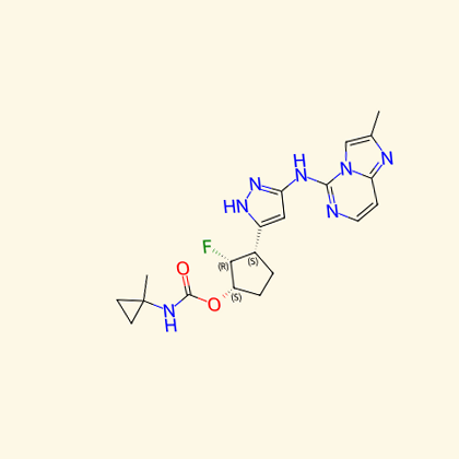 Cc1cn2c(Nc3cc([C@@H]4CC[C@H](OC(=O)NC5(C)CC5)[C@@H]4F)[nH]n3)nccc2n1